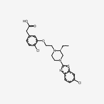 CC[C@H]1CN(c2nc3ccc(Cl)cc3s2)CCN1CCOc1cc(CC(=O)O)ccc1Cl